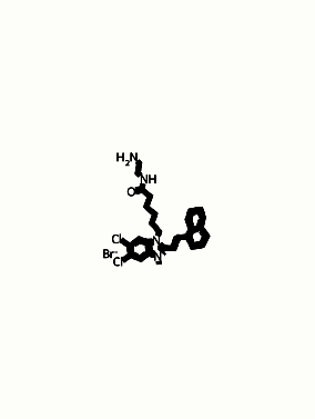 C[n+]1c(/C=C/c2cccc3ccccc23)n(CCCCCC(=O)NCCN)c2cc(Cl)c(Cl)cc21.[Br-]